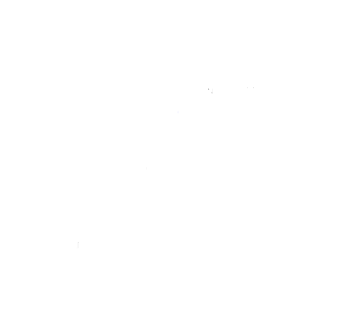 C/C(=C\CN1CC(C(=O)O)C1)c1ccc(OCCCc2ccc(Cl)cc2)cc1